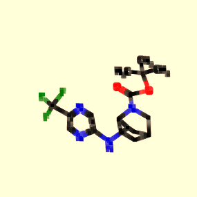 CC(C)(C)OC(=O)N1CC2CCC1C(Nc1cnc(C(F)(F)F)cn1)C2